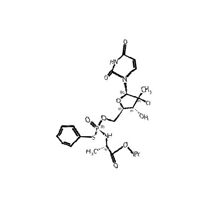 CC(C)OC(=O)[C@H](C)N[P@@](=O)(OC[C@H]1O[C@@H](n2ccc(=O)[nH]c2=O)[C@](C)(Cl)[C@@H]1O)Sc1ccccc1